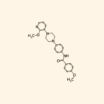 COc1ccc(C(=O)Nc2ccc(N3CCN(c4cccnc4OC)CC3)cc2)cc1